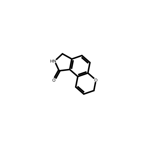 O=C1NCc2ccc3c(c21)C=CCO3